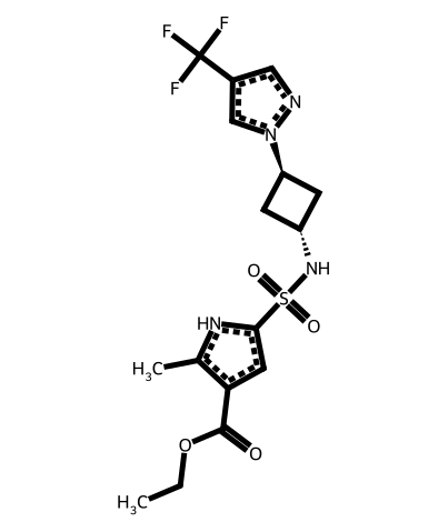 CCOC(=O)c1cc(S(=O)(=O)N[C@H]2C[C@H](n3cc(C(F)(F)F)cn3)C2)[nH]c1C